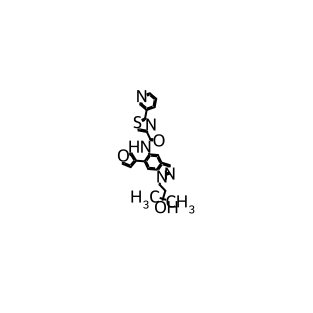 CC(C)(O)CCn1ncc2cc(NC(=O)c3csc(-c4cccnc4)n3)c(-c3ccoc3)cc21